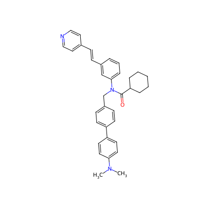 CN(C)c1ccc(-c2ccc(CN(C(=O)C3CCCCC3)c3cccc(C=Cc4ccncc4)c3)cc2)cc1